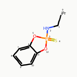 CC(C)CNP1(=S)Oc2ccccc2O1